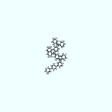 c1ccc(-c2ccc(-c3cccc(-n4c5ccccc5c5cc(N(c6ccc(N(c7ccccc7)c7ccccc7)cc6)c6cccc7ccccc67)ccc54)c3)cc2)cc1